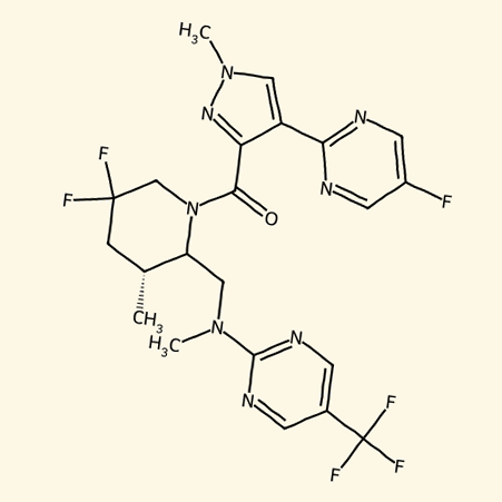 C[C@@H]1CC(F)(F)CN(C(=O)c2nn(C)cc2-c2ncc(F)cn2)C1CN(C)c1ncc(C(F)(F)F)cn1